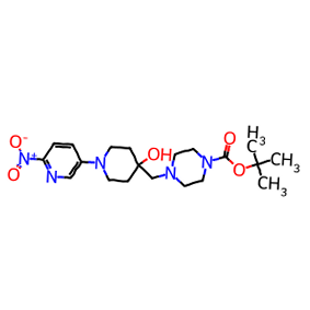 CC(C)(C)OC(=O)N1CCN(CC2(O)CCN(c3ccc([N+](=O)[O-])nc3)CC2)CC1